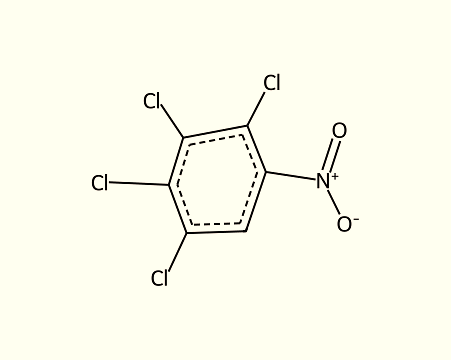 O=[N+]([O-])c1cc(Cl)c(Cl)c(Cl)c1Cl